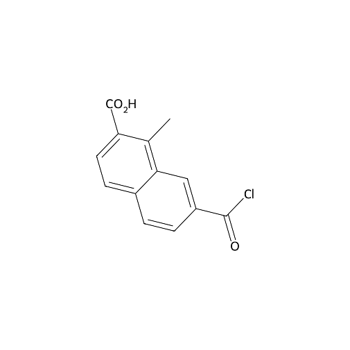 Cc1c(C(=O)O)ccc2ccc(C(=O)Cl)cc12